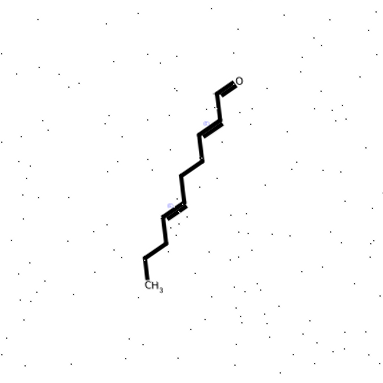 CCC/C=C/CC/C=C/[C]=O